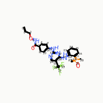 C=CCONC(=O)c1ccc(Nc2ncc(C(F)(F)F)c(Nc3ccccc3P(C)(C)=O)n2)cc1